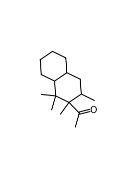 CC(=O)C1(C)C(C)CC2CCCCC2C1(C)C